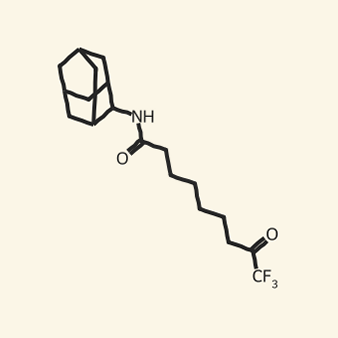 O=C(CCCCCCC(=O)C(F)(F)F)NC1C2CC3CC(C2)CC1C3